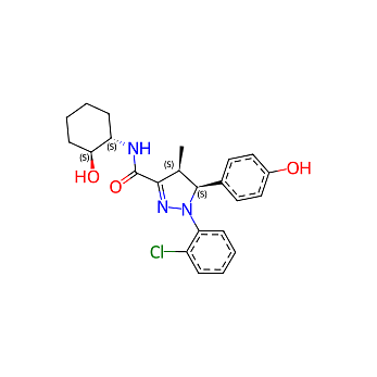 C[C@@H]1C(C(=O)N[C@H]2CCCC[C@@H]2O)=NN(c2ccccc2Cl)[C@@H]1c1ccc(O)cc1